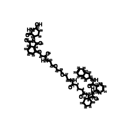 O=C(CCCC(=O)NC1(C(=O)Nc2nccnc2C(=O)NC2Cc3ccccc3C2)CCCCC1)NCCOCCOCCNC(=O)COc1cccc2c1C(=O)N(C1CCC(O)NC1=O)C2=O